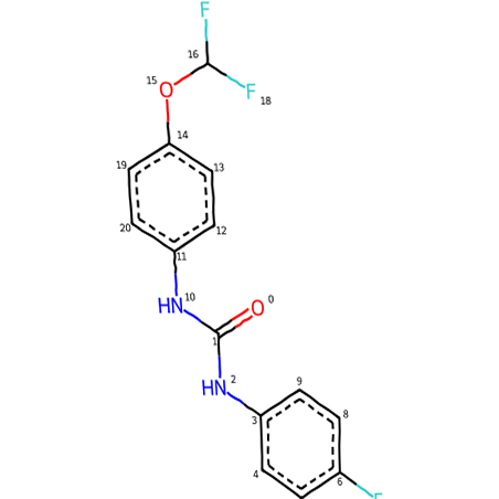 O=C(Nc1ccc(F)cc1)Nc1ccc(OC(F)F)cc1